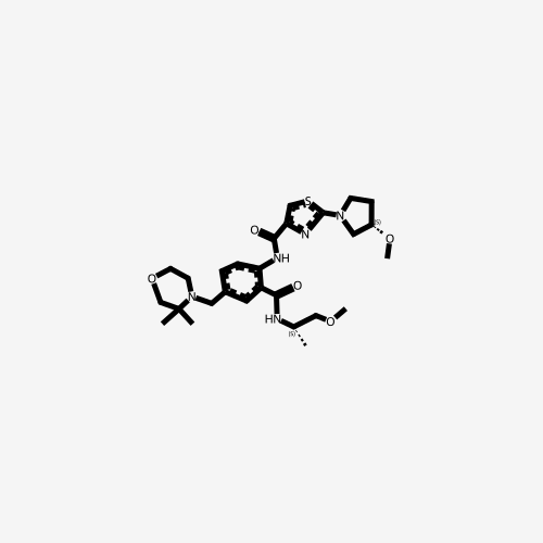 COC[C@H](C)NC(=O)c1cc(CN2CCOCC2(C)C)ccc1NC(=O)c1csc(N2CC[C@H](OC)C2)n1